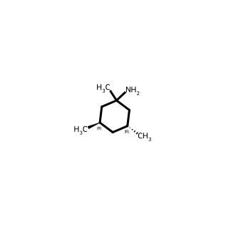 C[C@@H]1C[C@@H](C)CC(C)(N)C1